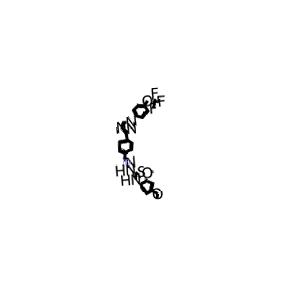 COc1ccc(NC(=S)N/N=C/c2ccc(-c3ncn(-c4ccc(OC(F)(F)F)cc4)n3)cc2)c(OC)c1